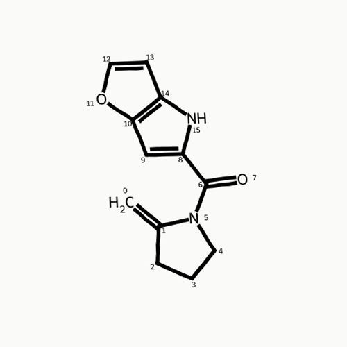 C=C1CCCN1C(=O)c1cc2occc2[nH]1